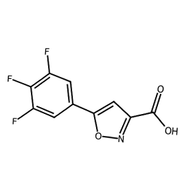 O=C(O)c1cc(-c2cc(F)c(F)c(F)c2)on1